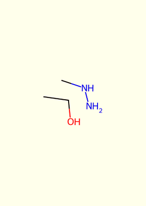 CCO.CNN